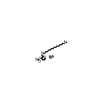 CBr.CBr.CN(C)CCCCCCCCCCCCCCCN(C)Cc1ncccc1OC(=O)N(C)C